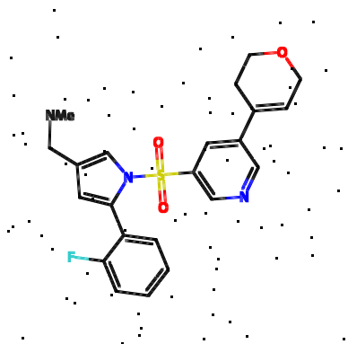 CNCc1cc(-c2ccccc2F)n(S(=O)(=O)c2cncc(C3=CCOCC3)c2)c1